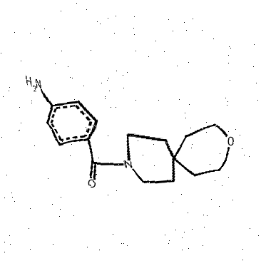 Nc1ccc(C(=O)N2CCC3(CCOCC3)CC2)cc1